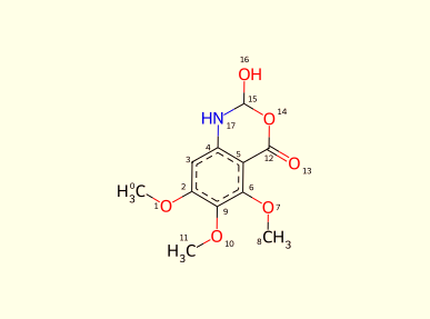 COc1cc2c(c(OC)c1OC)C(=O)OC(O)N2